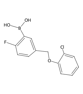 OB(O)c1cc(COc2ccccc2Cl)ccc1F